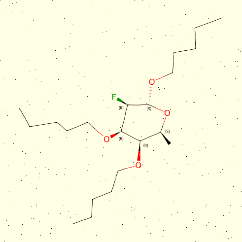 CCCCCO[C@@H]1O[C@@H](C)[C@@H](OCCCCC)[C@@H](OCCCCC)[C@H]1F